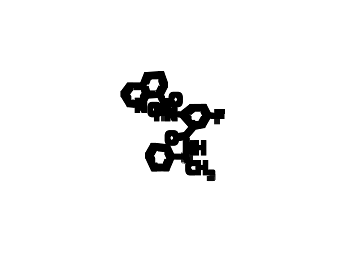 C[C@H](NC(=O)c1cc(F)ccc1NS(=O)(=O)c1cccc2cccnc12)c1ccccc1